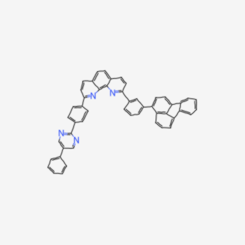 c1ccc(-c2cnc(-c3ccc(-c4ccc5ccc6ccc(-c7cccc(-c8ccc9c%10c(cccc8%10)-c8ccccc8-9)c7)nc6c5n4)cc3)nc2)cc1